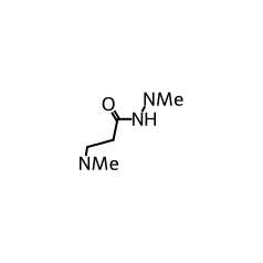 CNCCC(=O)NNC